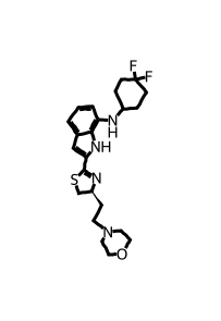 FC1(F)CCC(Nc2cccc3cc(C4=N[C@@H](CCN5CCOCC5)CS4)[nH]c23)CC1